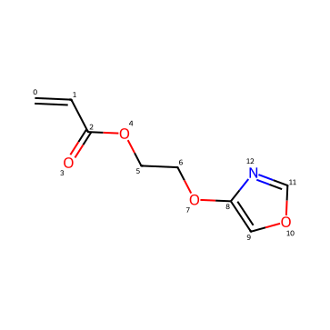 C=CC(=O)OCCOc1cocn1